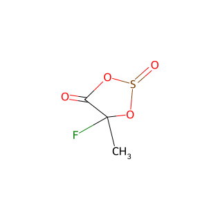 CC1(F)OS(=O)OC1=O